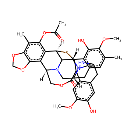 COc1cc2c(cc1O)CCN[C@]21CS[C@@H]2c3c(OC(C)=O)c(C)c4c(c3[C@H](COC1=O)N1C[C@H]3Cc5cc(C)c(OC)c(O)c5[C@@H](C21)N3C)OCO4